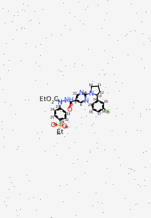 CCOC(=O)N(NC(=O)c1cnc(N2CCCC2c2cccc(F)c2)nc1)c1ccc(S(=O)(=O)CC)cc1